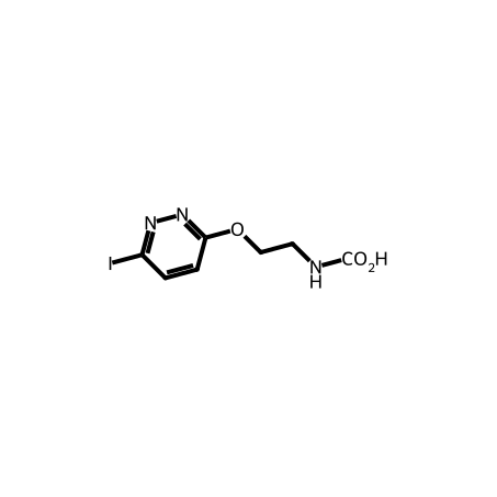 O=C(O)NCCOc1ccc(I)nn1